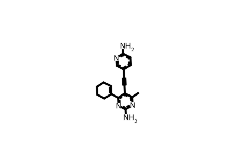 Cc1nc(N)nc(C2=CCCCC2)c1C#Cc1ccc(N)nc1